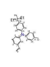 C=Cc1cccc(N(c2ccc(C)cc2)c2ccc(C(C)(CC)CC)cc2)c1